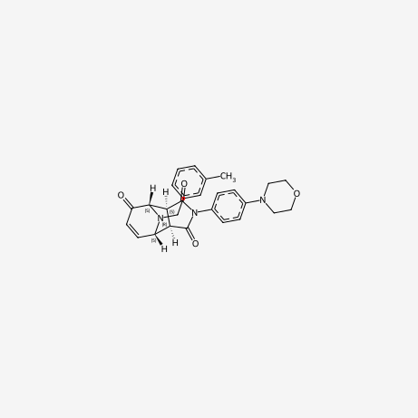 Cc1cccc(CN2[C@@H]3C(=O)C=C[C@H]2[C@@H]2C(=O)N(c4ccc(N5CCOCC5)cc4)C(=O)[C@@H]23)c1